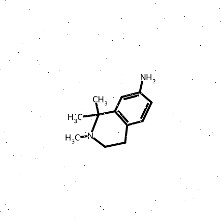 CN1CCc2ccc(N)cc2C1(C)C